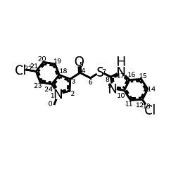 Cn1cc(C(=O)CSc2nc3cc(Cl)ccc3[nH]2)c2ccc(Cl)cc21